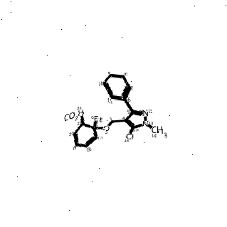 CCC1(OCc2c(-c3ccccc3)nn(C)c2Cl)C=CC=CC1C(=O)O